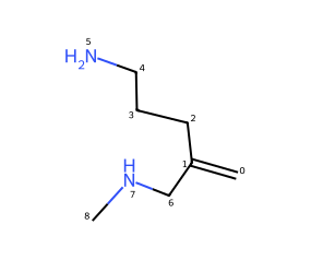 C=C(CCCN)CNC